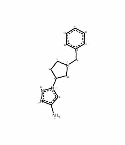 Nc1cn(C2CCN(Cc3ccccc3)C2)nn1